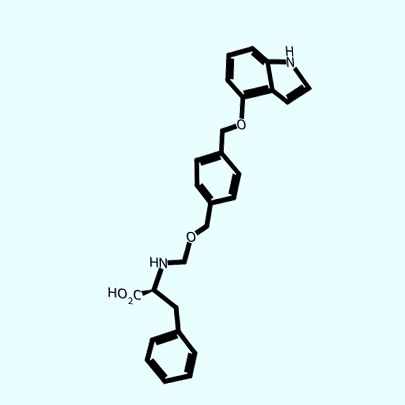 O=C(O)[C@H](Cc1ccccc1)NCOCc1ccc(COc2cccc3[nH]ccc23)cc1